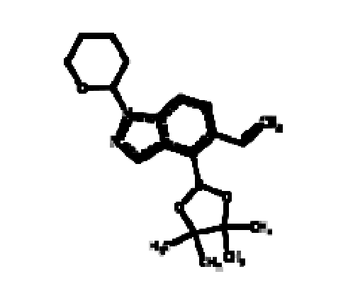 C=Cc1ccc2c(cnn2C2CCCCO2)c1B1OC(C)(C)C(C)(C)O1